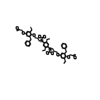 CCc1cc(N2CC(COc3c(CC)cc(OCC4CO4)cc3Cc3ccccc3)OC2=O)c(CC)cc1N1CC(COc2cc(CC)c(OCC3CO3)c(Cc3ccccc3)c2)OC1=O